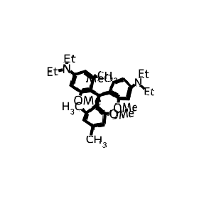 CCN(CC)c1cc(C)c(C(c2c(C)cc(C)cc2OC)c2c(OC)cc(N(CC)CC)cc2OC)c(OC)c1